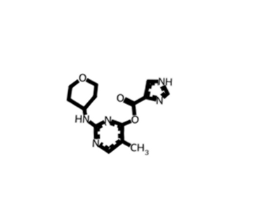 Cc1cnc(NC2CCOCC2)nc1OC(=O)c1c[nH]cn1